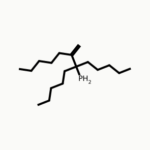 C=C(CCCCC)C(P)(CCCCC)CCCCC